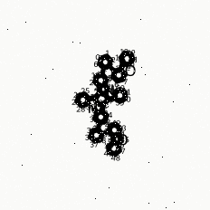 c1ccc(-c2cccc3oc4ccccc4c23)c(-c2ccc3c4c5c6ccccc6n6c7cc(-c8ccccc8-c8cccc9oc%10ccccc%10c89)ccc7c(c7c8ccccc8n(c3c2)c74)c56)c1